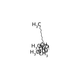 CCCCCCCCCCCCC(C(=O)[O-])(C(=O)CN(C)C)[N+](C)(C)C